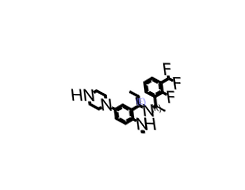 C=Nc1ccc(N2CCNCC2)cc1/C(=C\C)N[C@H](C)c1cccc(C(F)F)c1F